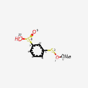 COOSc1cccc(S(=O)O)c1